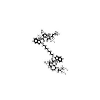 CNCC(=O)N[C@@H](C)C(=O)N1[C@@H](S)CC(C)(C)[C@H]1C(=O)N[C@H]1c2ccccc2C[C@H]1OCCCCCCCCO[C@@H]1Cc2ccccc2[C@@H]1NC(=O)[C@H]1N2C(=O)[C@@H](NC(=O)[C@H](C)NC)CCS[C@H]2CC1(C)C